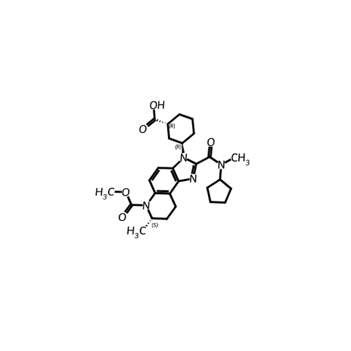 COC(=O)N1c2ccc3c(nc(C(=O)N(C)C4CCCC4)n3[C@@H]3CCC[C@@H](C(=O)O)C3)c2CC[C@@H]1C